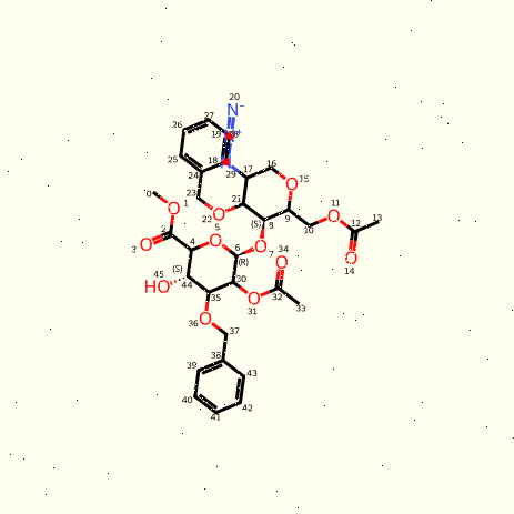 COC(=O)C1O[C@@H](O[C@@H]2C(COC(C)=O)OCC(N=[N+]=[N-])C2OCc2ccccc2)C(OC(C)=O)C(OCc2ccccc2)[C@@H]1O